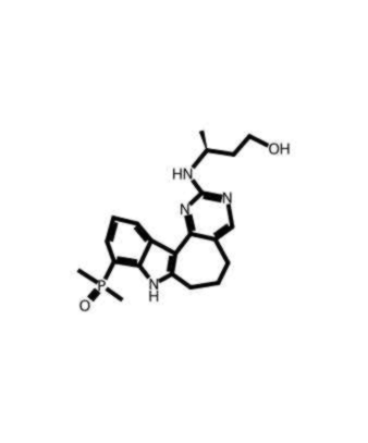 C[C@@H](CCO)Nc1ncc2c(n1)-c1c([nH]c3c(P(C)(C)=O)cccc13)CCC2